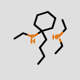 CCCCC1(PCC)CCCCC1.CCPCC